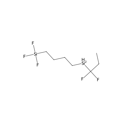 CCC(F)(F)[SiH2]CCCC[Si](F)(F)F